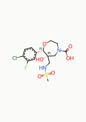 CS(=O)(=O)NC[C@]1(O)CN(C(=O)O)CCO[C@H]1c1ccc(Cl)c(F)c1